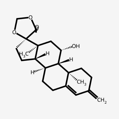 C=C1C=C2CC[C@@H]3[C@H]([C@@H](O)C[C@@]4(C)[C@H]3CC[C@@]43OCOC34COCO4)[C@@]2(C)CC1